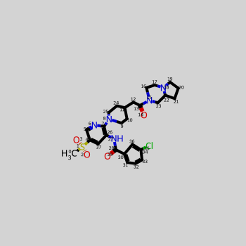 CS(=O)(=O)c1cnc(N2CCC(CC(=O)N3CCN4CCCC4C3)CC2)c(NC(=O)c2cccc(Cl)c2)c1